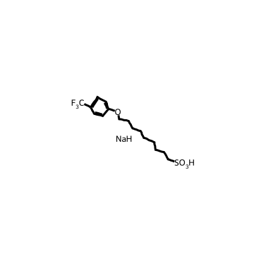 O=S(=O)(O)CCCCCCCCCOc1ccc(C(F)(F)F)cc1.[NaH]